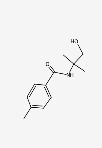 Cc1ccc(C(=O)NC(C)(C)CO)cc1